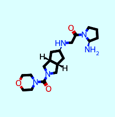 N[C@@H]1CCCN1C(=O)CN[C@@H]1C[C@@H]2CN(C(=O)N3CCOCC3)C[C@@H]2C1